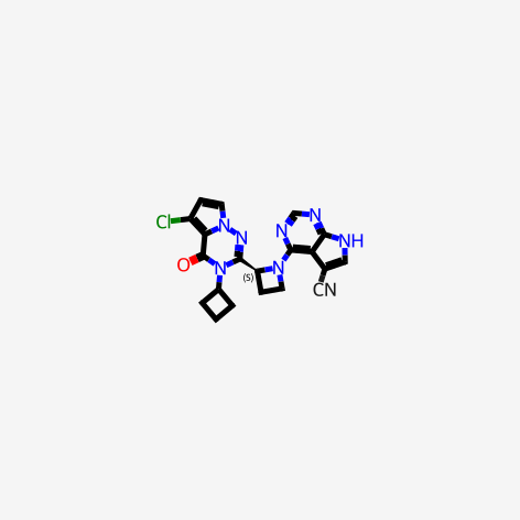 N#Cc1c[nH]c2ncnc(N3CC[C@H]3c3nn4ccc(Cl)c4c(=O)n3C3CCC3)c12